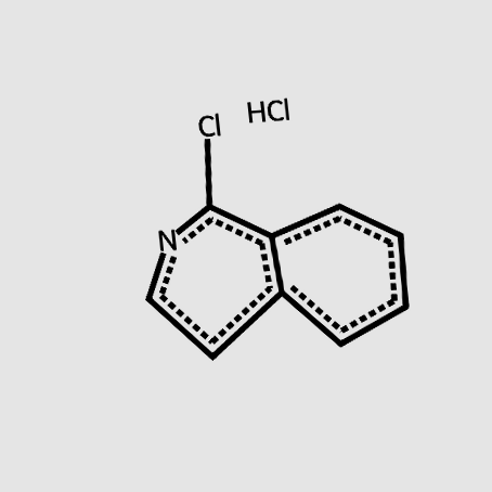 Cl.Clc1nccc2ccccc12